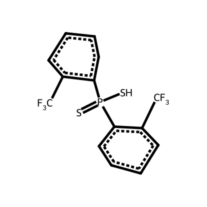 FC(F)(F)c1ccccc1P(=S)(S)c1ccccc1C(F)(F)F